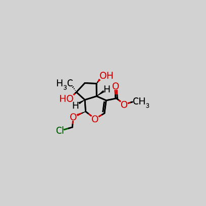 COC(=O)C1=CO[C@@H](OCCl)[C@H]2[C@@H]1[C@H](O)C[C@]2(C)O